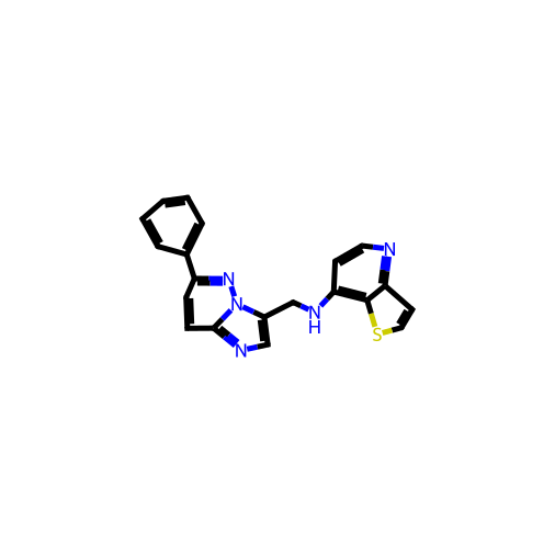 c1ccc(-c2ccc3ncc(CNc4ccnc5ccsc45)n3n2)cc1